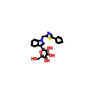 OC[C@H]1O[C@@H](c2cn(Cc3ncc(-c4ccccc4)s3)c3ccccc23)[C@H](O)[C@@H](O)[C@@H]1O